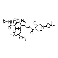 CC(C)Cn1c(=O)c(C(=O)NC2CC2)c(O)n2ncc(/C=C/C(=O)N3CCN(C4CC(F)(F)C4)C[C@H]3C)c12